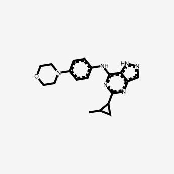 CC1CC1c1nc(Nc2ccc(N3CCOCC3)cc2)c2[nH]ncc2n1